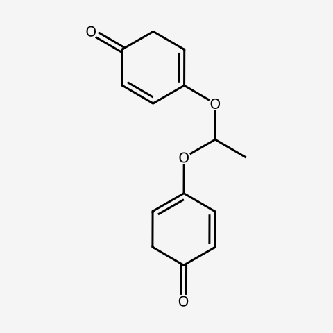 CC(OC1=CCC(=O)C=C1)OC1=CCC(=O)C=C1